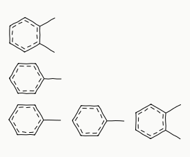 Cc1ccccc1.Cc1ccccc1.Cc1ccccc1.Cc1ccccc1C.Cc1ccccc1C